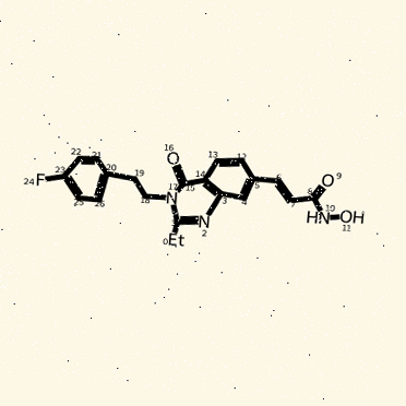 CCc1nc2cc(C=CC(=O)NO)ccc2c(=O)n1CCc1ccc(F)cc1